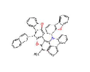 CC1C=CC(N(c2ccccc2-c2ccccc2)C2CC=Cc3c2oc2ccccc32)=C2c3cc4oc5ccccc5c4c(-c4ccc5ccccc5c4)c3OC21